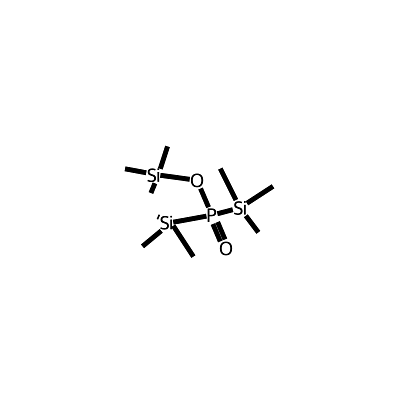 C[Si](C)(C)OP(=O)([Si](C)(C)C)[Si](C)(C)C